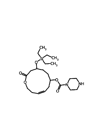 CC[Si](CC)(CC)OC1CCC(OC(=O)N2CCNCC2)CC=CCCOC(=O)C1